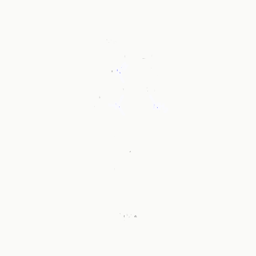 CNCCCCCCN(C)c1nc(OC)ccc1N